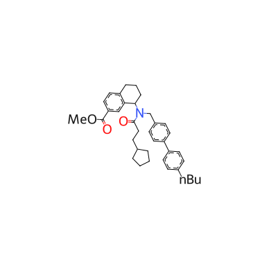 CCCCc1ccc(-c2ccc(CN(C(=O)CCC3CCCC3)C3CCCc4ccc(C(=O)OC)cc43)cc2)cc1